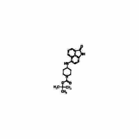 CC(C)(C)OC(=O)N1CCC(Nc2ccc3c4c(cccc24)C(=O)N3)CC1